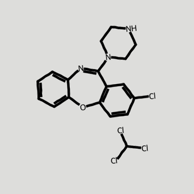 ClC(Cl)Cl.Clc1ccc2c(c1)C(N1CCNCC1)=Nc1ccccc1O2